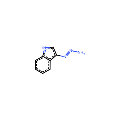 NN=Nc1c[nH]c2ccccc12